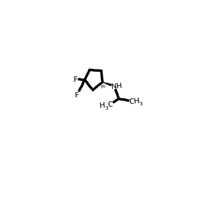 CC(C)N[C@@H]1CCC(F)(F)C1